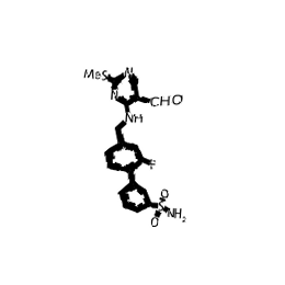 CSc1ncc(C=O)c(NCc2ccc(-c3cccc(S(N)(=O)=O)c3)c(F)c2)n1